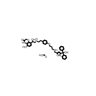 O=C1COc2c(C(O)CNCCc3ccc(OCCCNCc4cc(C(O)(c5ccccc5)c5ccccc5)no4)cc3)ccc(O)c2N1.O=CO